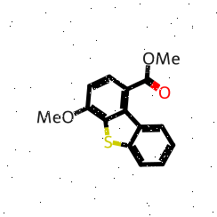 COC(=O)c1ccc(OC)c2sc3ccccc3c12